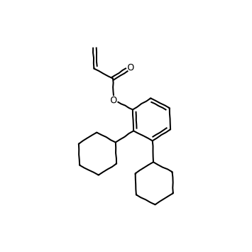 C=CC(=O)Oc1cccc(C2CCCCC2)c1C1CCCCC1